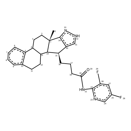 C[C@]12CCC3c4ccccc4CCC3C1[C@H](CCCC(=O)Nc1ncc(F)cc1F)c1c[nH]nc12